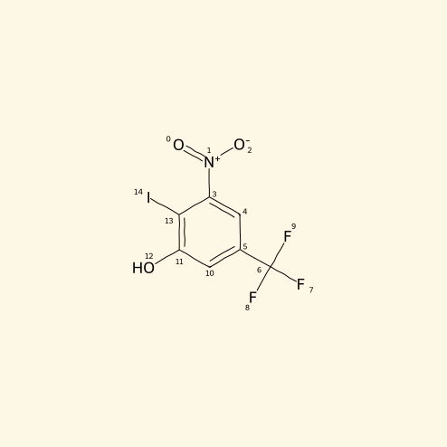 O=[N+]([O-])c1cc(C(F)(F)F)cc(O)c1I